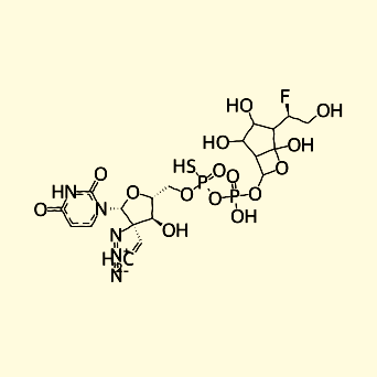 C=C[C@@]1(N=[N+]=[N-])[C@H](O)[C@@H](COP(=O)(S)OP(=O)(O)OC2OC3(O)C2C(O)C(O)C3[C@@H](F)CO)O[C@H]1n1ccc(=O)[nH]c1=O